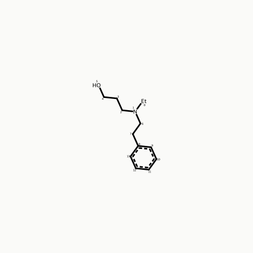 CCN(CCCO)CCc1ccccc1